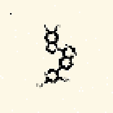 Nc1ncc(-c2ccc3ncnc(N4CCc5cc(F)c(Cl)cc54)c3c2)c(O)n1